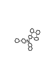 c1ccc(-c2ccc(N(c3ccc4c(c3)-c3ccccc3-c3ccccc3-c3ccccc3-4)c3ccc4ccccc4c3)cc2)cc1